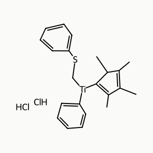 CC1=C(C)C(C)[C]([Ti]([CH2]Sc2ccccc2)[c]2ccccc2)=C1C.Cl.Cl